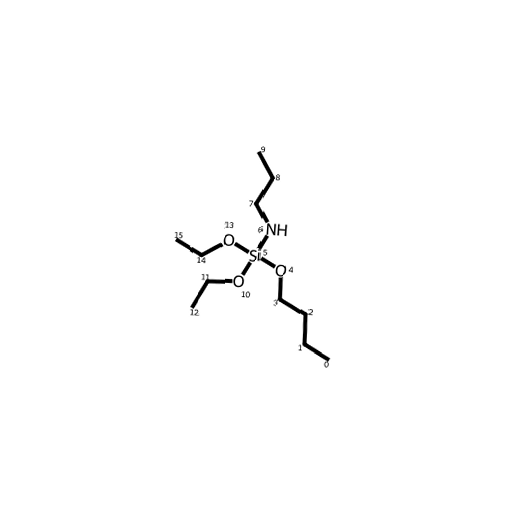 CCCCO[Si](NCCC)(OCC)OCC